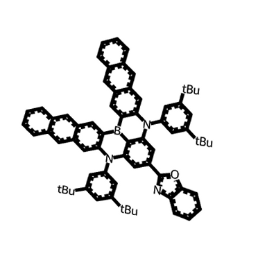 CC(C)(C)c1cc(N2c3cc4cc5ccccc5cc4cc3B3c4cc5cc6ccccc6cc5cc4N(c4cc(C(C)(C)C)cc(C(C)(C)C)c4)c4cc(-c5nc6ccccc6o5)cc2c43)cc(C(C)(C)C)c1